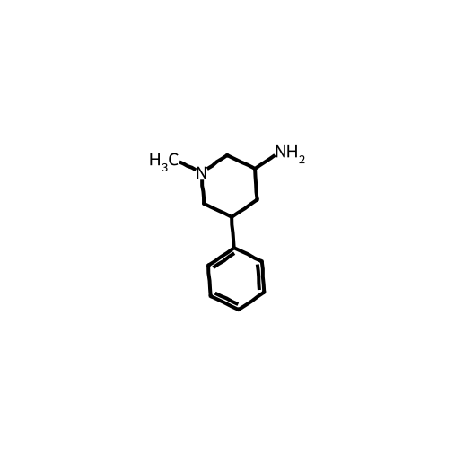 CN1CC(N)CC(c2ccccc2)C1